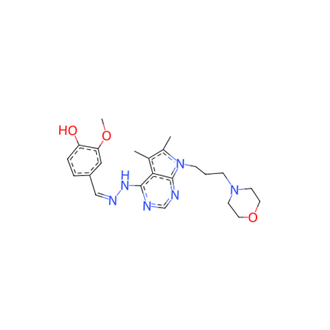 COc1cc(/C=N\Nc2ncnc3c2c(C)c(C)n3CCCN2CCOCC2)ccc1O